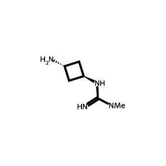 CNC(=N)N[C@H]1C[C@H](N)C1